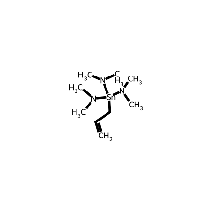 C=C[CH2][Sn]([N](C)C)([N](C)C)[N](C)C